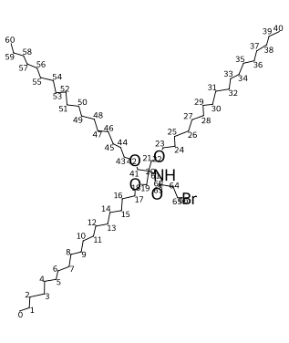 CCCCCCCCCCCCCCCCCCOCC(COCCCCCCCCCCCCCCCCCC)(COCCCCCCCCCCCCCCCCCC)NC(=O)CCBr